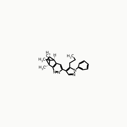 CCCc1c(-c2cc3c(nn2)[C@@]2(C)CC[C@@H]3C2(C)C)cnn1-c1ccccc1